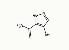 CCCc1cn[nH]c1C(N)=O